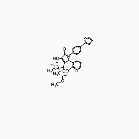 COCCOc1ncccc1C1C(C(=O)C(C)(C)C)=C(O)C(=O)N1c1ccc(-c2cccs2)cc1